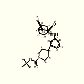 CC(C)(C)OC(=O)N1CCC(c2cccc(NC34CCC(CC3)C(=O)NC4=O)c2)CC1